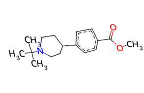 COC(=O)c1ccc(C2CCN(C(C)(C)C)CC2)cc1